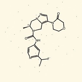 C[C@H]1Cn2ncc(N3CCOCC3=O)c2CN1C(=O)Nc1ccnc(C(F)F)c1